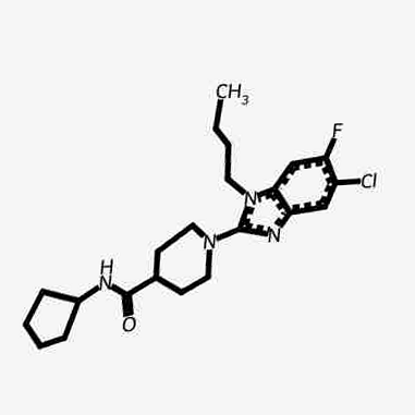 CCCCn1c(N2CCC(C(=O)NC3CCCC3)CC2)nc2cc(Cl)c(F)cc21